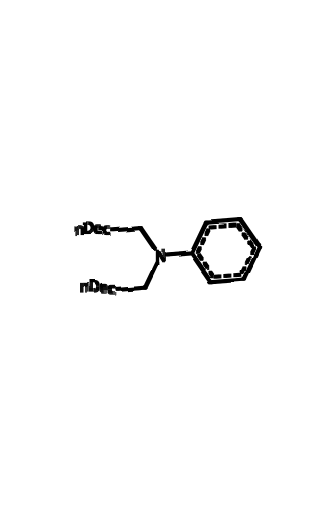 CCCCCCCCCCCN(CCCCCCCCCCC)c1ccccc1